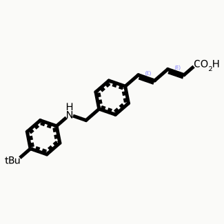 CC(C)(C)c1ccc(NCc2ccc(/C=C/C=C/C(=O)O)cc2)cc1